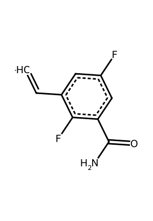 [CH]=Cc1cc(F)cc(C(N)=O)c1F